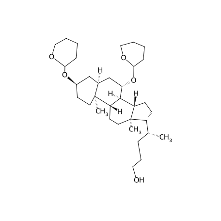 C[C@H](CCCO)[C@H]1CC[C@H]2[C@@H]3[C@@H](OC4CCCCO4)C[C@@H]4C[C@H](OC5CCCCO5)CC[C@]4(C)[C@H]3CC[C@]12C